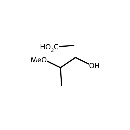 CC(=O)O.COC(C)CO